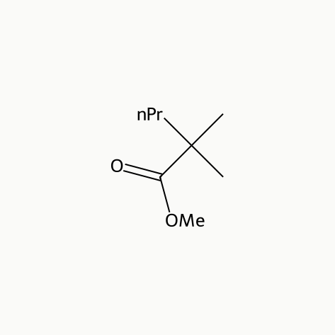 [CH2]OC(=O)C(C)(C)CCC